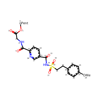 CCCCCOC(=O)CNC(=O)c1ccc(C(=O)NS(=O)(=O)CCc2ccc(OC)cc2)cn1